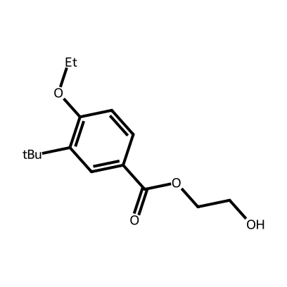 CCOc1ccc(C(=O)OCCO)cc1C(C)(C)C